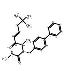 CNC(=O)[C@@H](Cc1ccc(-c2ccccc2)cc1)N(C)C(=O)/C=C/CC(C)(C)N